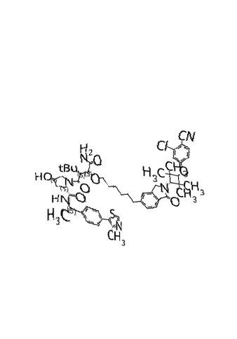 Cc1ncsc1-c1ccc([C@H](C)NC(=O)[C@@H]2C[C@@H](O)CN2C(=O)[C@H]([C@H](OCCCCCCc2ccc3c(c2)CN([C@H]2C(C)(C)[C@H](Oc4ccc(C#N)c(Cl)c4)C2(C)C)C3=O)C(N)=O)C(C)(C)C)cc1